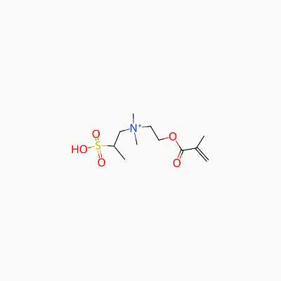 C=C(C)C(=O)OCC[N+](C)(C)CC(C)S(=O)(=O)O